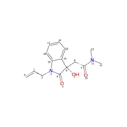 C=CCN1C(=O)C(O)(CC(=O)N(C)C)c2ccccc21